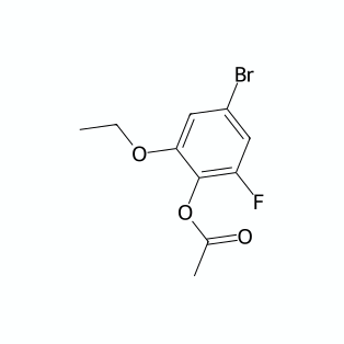 CCOc1cc(Br)cc(F)c1OC(C)=O